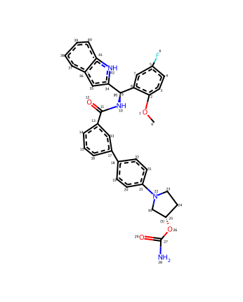 COc1ccc(F)cc1[C@@H](NC(=O)c1cccc(-c2ccc(N3CC[C@H](OC(N)=O)C3)cc2)c1)c1cc2ccccc2[nH]1